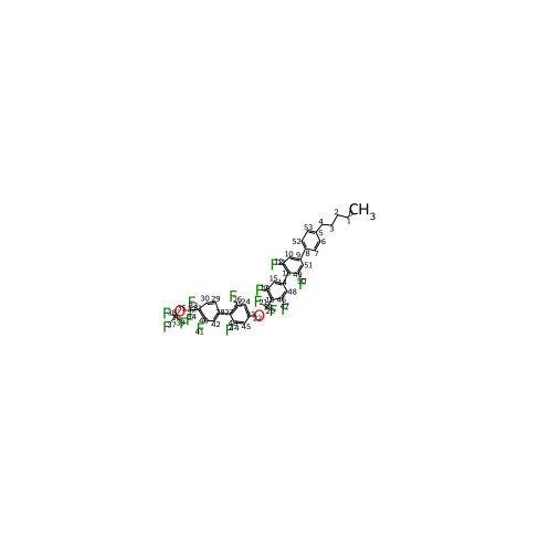 CCCCCc1ccc(-c2cc(F)c(-c3cc(F)c(C(F)(F)Oc4cc(F)c(-c5ccc(C(F)(F)OC(F)(F)F)c(F)c5)c(F)c4)c(F)c3)c(F)c2)cc1